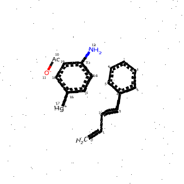 C=CC=Cc1ccccc1.CC(=O)[O-].Nc1cc[c]([Hg+])cc1